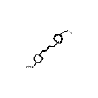 CCCCCC1CCC(C=CCCc2ccc(OC(F)(F)F)cc2)CC1